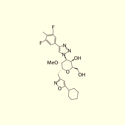 CO[C@@H]1[C@@H](n2cc(-c3cc(F)c(C)c(F)c3)nn2)[C@@H](O)[C@@H](CO)O[C@@H]1Cc1cc(C2CCCCC2)on1